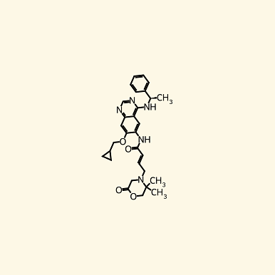 C[C@@H](Nc1ncnc2cc(OCC3CC3)c(NC(=O)C=CCN3CC(=O)OCC3(C)C)cc12)c1ccccc1